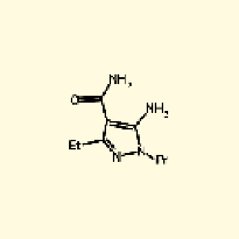 CCc1nn(C(C)C)c(N)c1C(N)=O